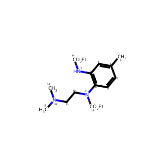 CCOC(=O)Nc1cc(C)ccc1N(CCN(C)C)C(=O)OCC